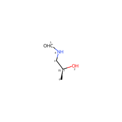 C[C@H](O)CNC=O